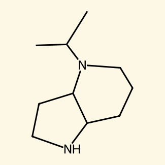 CC(C)N1CCCC2NCCC21